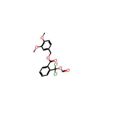 COc1ccc(COC(=O)c2ccccc2C(Cl)(Cl)O[C]=O)cc1OC